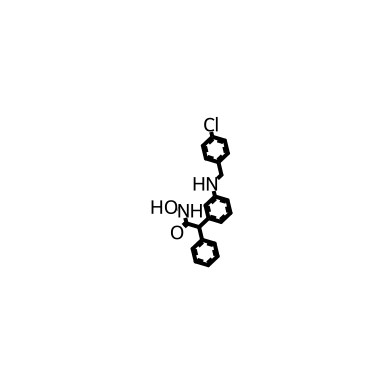 O=C(NO)C(c1ccccc1)c1cccc(NCc2ccc(Cl)cc2)c1